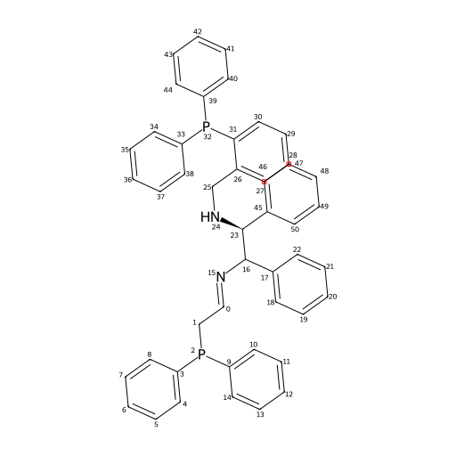 C(/CP(c1ccccc1)c1ccccc1)=N\C(c1ccccc1)[C@@H](NCc1ccccc1P(c1ccccc1)c1ccccc1)c1ccccc1